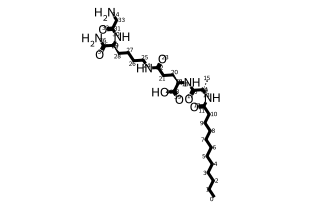 CCCCCCCCCCCC(=O)N[C@@H](C)C(=O)N[C@H](CCC(=O)NCCCC[C@H](NC(=O)CN)C(N)=O)C(=O)O